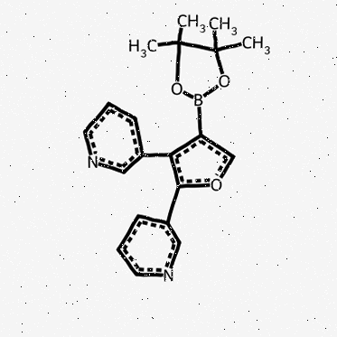 CC1(C)OB(c2coc(-c3cccnc3)c2-c2cccnc2)OC1(C)C